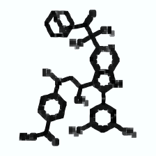 CCN(CC(C)c1c(-c2cc(C)cc(C)c2)[nH]c2cnc(C(C)(C)C(=O)N3CC4CCC3CC4)cc12)c1ccc(C(=O)OC)cc1